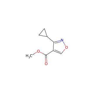 COC(=O)c1conc1C1CC1